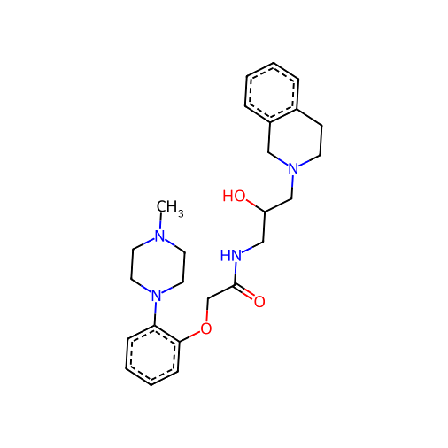 CN1CCN(c2ccccc2OCC(=O)NCC(O)CN2CCc3ccccc3C2)CC1